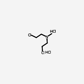 CN(CCCl)CCCl.Cl.Cl